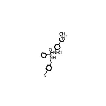 Cn1cc(-c2ccc(NC(=O)[C@H](NCCc3ccc(C#N)cc3)c3ccccc3)c(Cl)c2)cn1